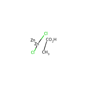 CC(=O)O.[Cl][Zn][Cl].[Zn]